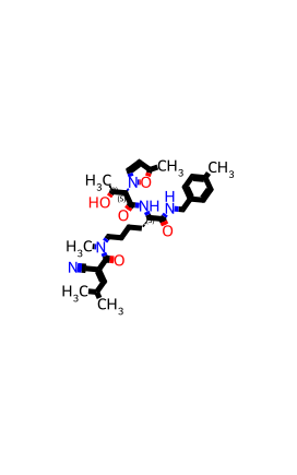 Cc1ccc(CNC(=O)[C@H](CCCCN(C)C(=O)C(C#N)=CC(C)C)NC(=O)[C@H]([C@@H](C)O)N2C=CC(C)O2)cc1